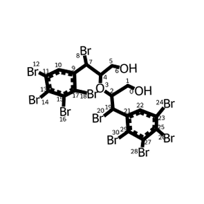 OCC(OC(CO)C(Br)c1cc(Br)c(Br)c(Br)c1Br)C(Br)c1cc(Br)c(Br)c(Br)c1Br